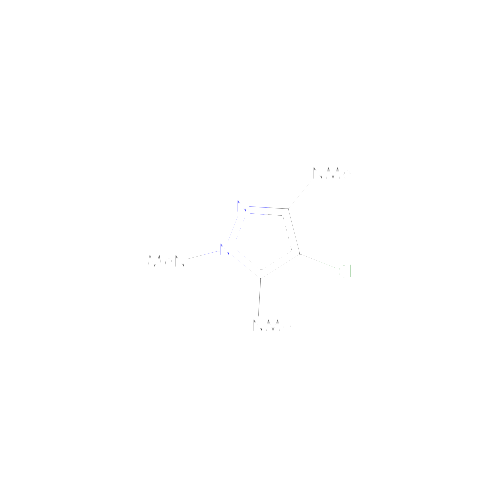 CNc1nn(NC)c(NC)c1Cl